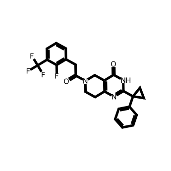 O=C(Cc1cccc(C(F)(F)F)c1F)N1CCc2nc(C3(c4ccccc4)CC3)[nH]c(=O)c2C1